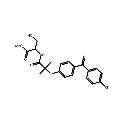 COC(=O)C(CO)NC(=O)C(C)(C)Oc1ccc(C(=O)c2ccc(Cl)cc2)cc1